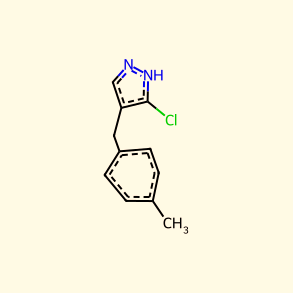 Cc1ccc(Cc2cn[nH]c2Cl)cc1